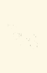 C=Cc1cccc(C(=O)Nc2ccccc2N2CCCCC2)n1